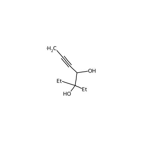 [CH2]C#CC(O)C(O)(CC)CC